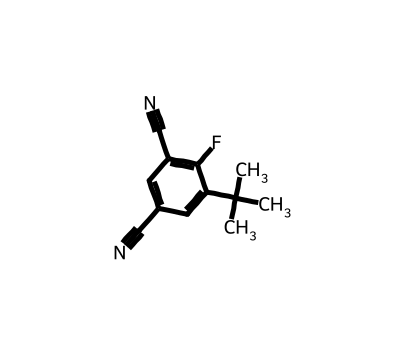 CC(C)(C)c1cc(C#N)cc(C#N)c1F